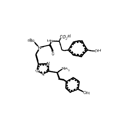 CCCCN(Cc1nc(C(N)Cc2ccc(O)cc2)no1)C(=O)NC(Cc1ccc(O)cc1)C(=O)O